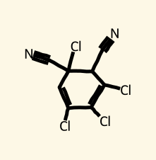 N#CC1C(Cl)=C(Cl)C(Cl)=CC1(Cl)C#N